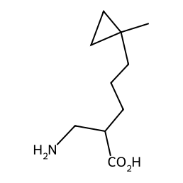 CC1(CCCC(CN)C(=O)O)CC1